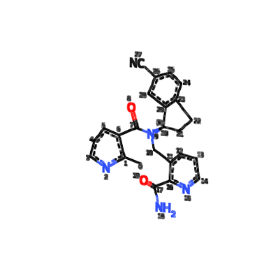 Cc1ncccc1C(=O)N(Cc1cccnc1C(N)=O)[C@@H]1CCc2ccc(C#N)cc21